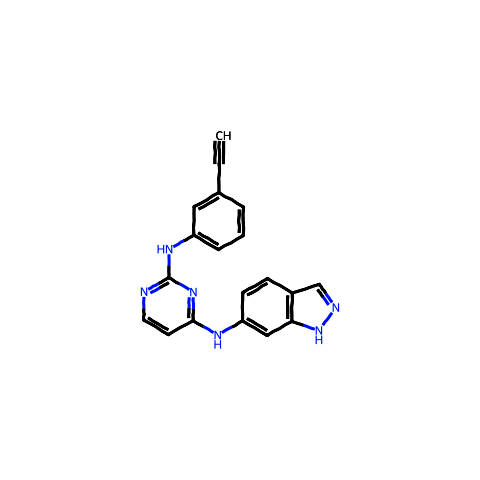 C#Cc1cccc(Nc2nccc(Nc3ccc4cn[nH]c4c3)n2)c1